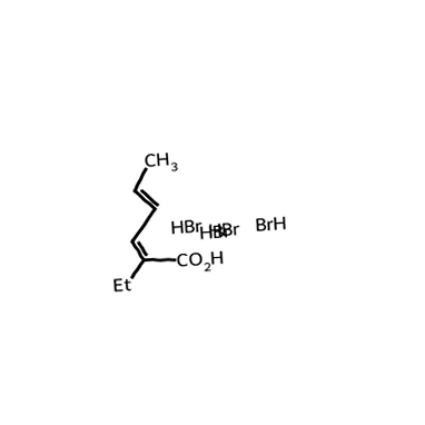 Br.Br.Br.Br.CC=CC=C(CC)C(=O)O